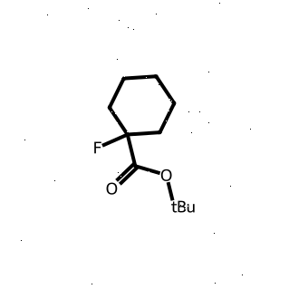 CC(C)(C)OC(=O)C1(F)CCCCC1